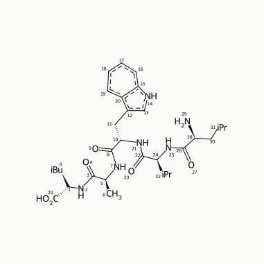 CC[C@H](C)[C@H](NC(=O)[C@H](C)NC(=O)[C@H](Cc1c[nH]c2ccccc12)NC(=O)[C@@H](NC(=O)[C@@H](N)CC(C)C)C(C)C)C(=O)O